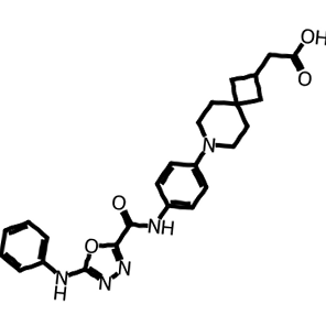 O=C(O)CC1CC2(CCN(c3ccc(NC(=O)c4nnc(Nc5ccccc5)o4)cc3)CC2)C1